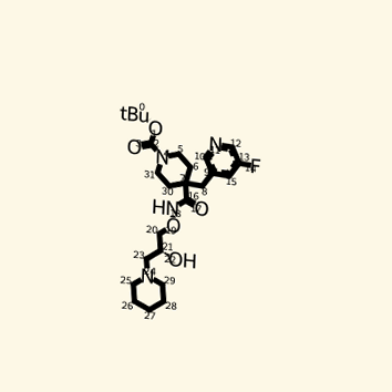 CC(C)(C)OC(=O)N1CCC(Cc2cncc(F)c2)(C(=O)NOC[C@H](O)CN2CCCCC2)CC1